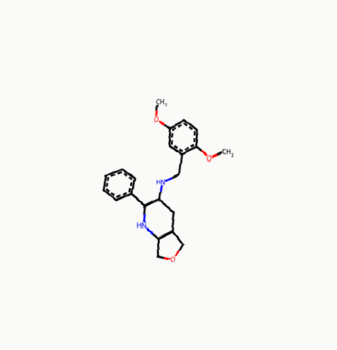 COc1ccc(OC)c(CNC2CC3COCC3NC2c2ccccc2)c1